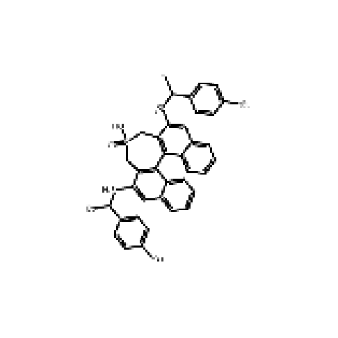 CCC([SiH2]c1cc2ccccc2c2c1CP(=O)(O)Cc1c([SiH2]C(CC)c3ccc(C(C)(C)C)cc3)cc3ccccc3c1-2)c1ccc(C(C)(C)C)cc1